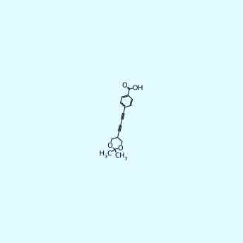 CC1(C)OCC(C#CC#Cc2ccc(C(=O)O)cc2)CO1